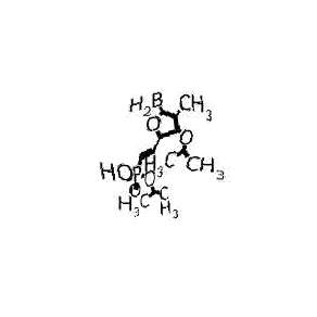 B[C@@H]1O[C@H](/C=C/P(=O)(O)OC(C)C)C(OC(C)C)[C@@H]1C